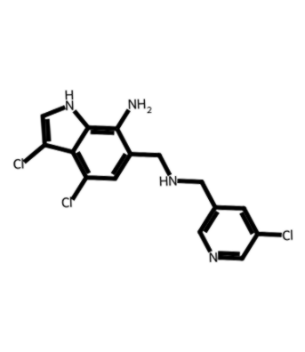 Nc1c(CNCc2cncc(Cl)c2)cc(Cl)c2c(Cl)c[nH]c12